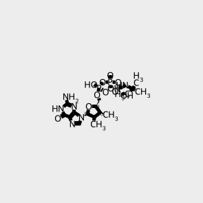 CC1[C@@H](C)[C@@H](COP(=O)(O)OP(=O)(O)OP(=O)(O)NC(C)(C)C)O[C@H]1n1cnc2c(=O)[nH]c(N)nc21